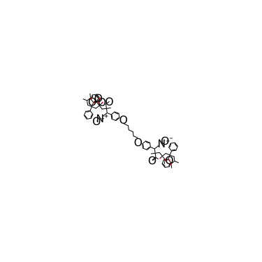 CCC(C)CC(CC(C)(CC(C)(C(C)=O)C(C#[N+][O-])c1ccc(OCCCCCCOc2ccc(C(C#[N+][O-])C(C)(CC(C)(CC(CC(C)CC)(c3ccccc3)c3ccccc3)C(=O)OC)C(=O)OC)cc2)cc1)C(C)=O)(c1ccccc1)c1ccccc1